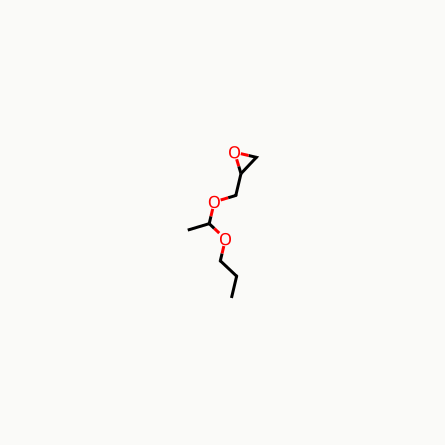 CCCOC(C)OCC1CO1